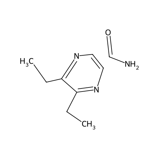 CCc1nccnc1CC.NC=O